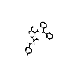 O=CC1=C(C(=O)OC(c2ccccc2)c2ccccc2)N2C(=O)C(NC(=O)c3ccc(Cl)cc3)[C@@H]2SC1